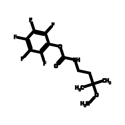 CC(C)(CCNC(=O)Oc1c(F)c(F)c(F)c(F)c1F)O[SiH3]